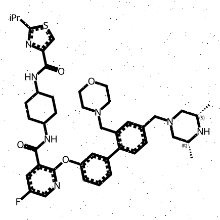 CC(C)c1nc(C(=O)NC2CCC(NC(=O)c3cc(F)cnc3Oc3cccc(-c4ccc(CN5C[C@@H](C)N[C@@H](C)C5)cc4CN4CCOCC4)c3)CC2)cs1